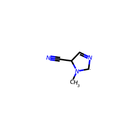 CN1[CH]N=CC1C#N